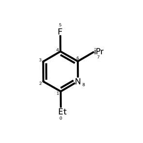 CCc1ccc(F)c(C(C)C)n1